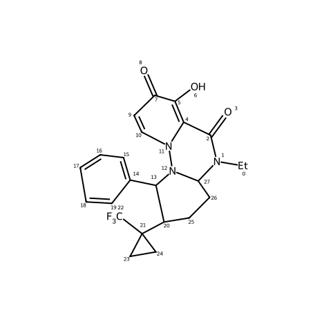 CCN1C(=O)c2c(O)c(=O)ccn2N2C(c3ccccc3)C(C3(C(F)(F)F)CC3)CCC12